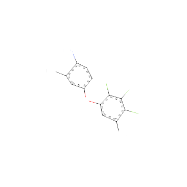 Cc1cc(Oc2ccc(N)c(C(F)(F)F)c2)c(F)c(F)c1F